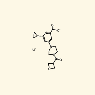 O=C([O-])c1cc(N2CCN(C(=O)C3COC3)CC2)cc(C2CC2)n1.[Li+]